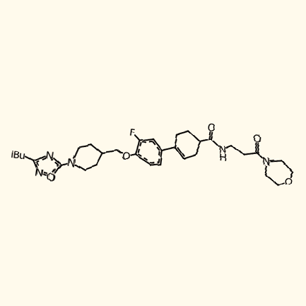 CCC(C)c1noc(N2CCC(COc3ccc(C4=CCC(C(=O)NCCC(=O)N5CCOCC5)CC4)cc3F)CC2)n1